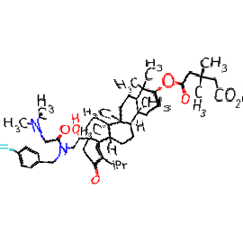 CC(C)C1=C2[C@H]3CC[C@@H]4[C@@]5(C)CC[C@H](OC(=O)CC(C)(C)CC(=O)O)C(C)(C)C5CC[C@@]4(C)[C@]3(C)CC[C@@]2([C@@H](O)CN(Cc2ccc(F)cc2)C(=O)CN(C)C)CC1=O